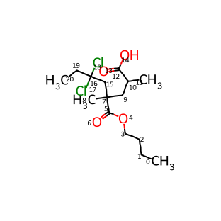 CCCCOC(=O)C(C)(CC(C)C(=O)O)CC(Cl)(Cl)CC